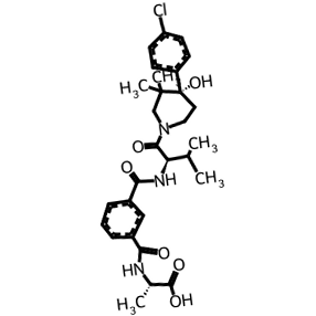 CC(C)[C@@H](NC(=O)c1cccc(C(=O)N[C@@H](C)C(=O)O)c1)C(=O)N1CC[C@](O)(c2ccc(Cl)cc2)C(C)(C)C1